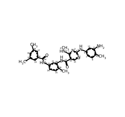 CNc1nc(Nc2ccc(C)c(N)c2)ncc1C(=O)Nc1cc(NC(=O)c2cc(C)cc(C)c2)ccc1C